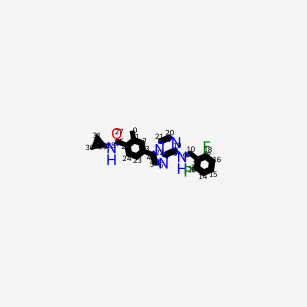 Cc1cc(-c2cnc3c(NCc4c(F)cccc4F)nccn23)ccc1C(=O)NC1CC1